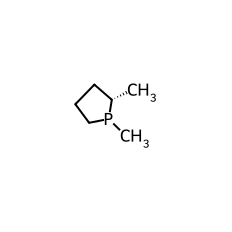 C[C@H]1CCCP1C